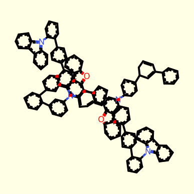 C1=CC(c2ccccc2)=CC(c2ccc(N(c3ccc(-c4ccc(-c5ccccc5-n5c6ccccc6c6ccccc65)cc4)cc3)c3ccc(-c4ccc(-c5cccc(-c6ccccc6-c6cccc(N(C7=CC=C(c8cccc9c8oc8ccccc89)CC7)c7ccc(-c8ccc(-c9ccccc9-n9c%10ccccc%10c%10ccccc%109)cc8)cc7)c6)c5)c5c4oc4ccccc45)cc3)cc2)C1